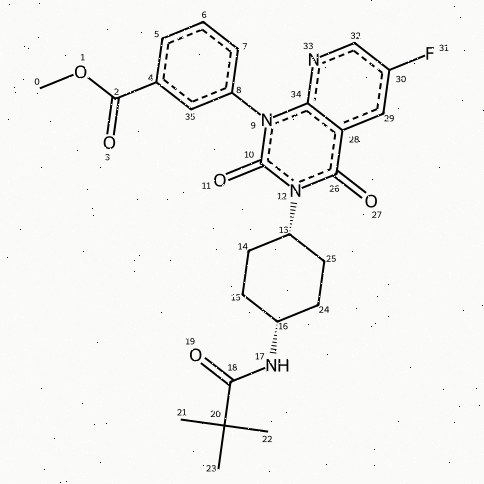 COC(=O)c1cccc(-n2c(=O)n([C@H]3CC[C@@H](NC(=O)C(C)(C)C)CC3)c(=O)c3cc(F)cnc32)c1